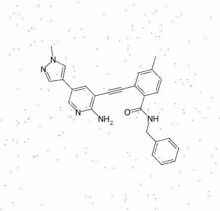 Cc1ccc(C(=O)NCc2ccccc2)c(C#Cc2cc(-c3cnn(C)c3)cnc2N)c1